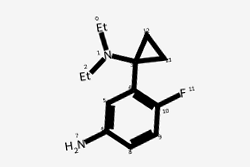 CCN(CC)C1(c2cc(N)ccc2F)CC1